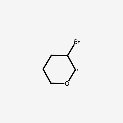 BrC1[C]OCCC1